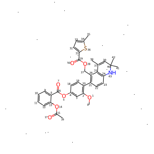 COc1cc(OC(=O)c2ccccc2OC(C)=O)ccc1-c1ccc2c(c1COC(=O)c1ccc(C)s1)C(C)=CC(C)(C)N2